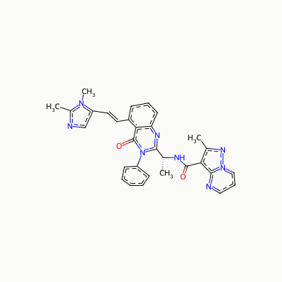 Cc1nn2cccnc2c1C(=O)N[C@H](C)c1nc2cccc(/C=C/c3cnc(C)n3C)c2c(=O)n1-c1ccccc1